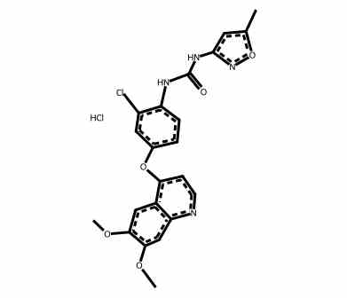 COc1cc2nccc(Oc3ccc(NC(=O)Nc4cc(C)on4)c(Cl)c3)c2cc1OC.Cl